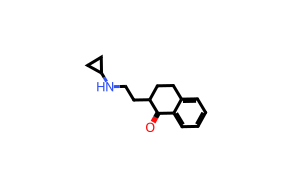 O=C1c2ccccc2CCC1CCNC1CC1